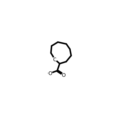 [O]C(=O)C1CCCCCCCC1